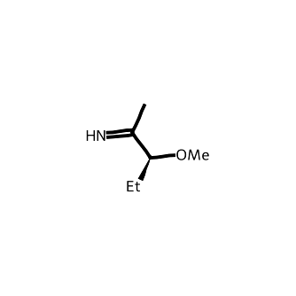 CC[C@H](OC)C(C)=N